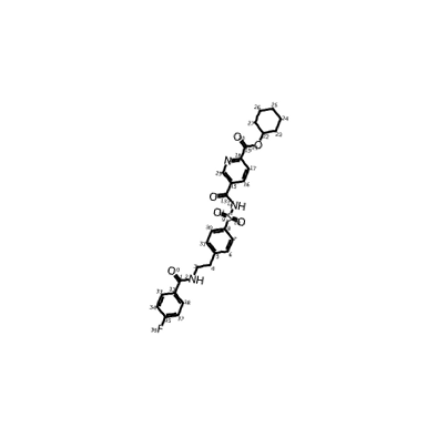 O=C(NCCc1ccc(S(=O)(=O)NC(=O)c2ccc(C(=O)OC3CCCCC3)nc2)cc1)c1ccc(F)cc1